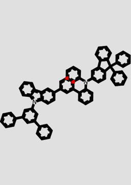 c1ccc(-c2cc(-c3ccccc3)cc(-n3c4ccccc4c4cc(-c5cccc(-c6ccccc6N(c6ccccc6)c6ccc7c(c6)-c6ccccc6C7(c6ccccc6)c6ccccc6)c5)ccc43)c2)cc1